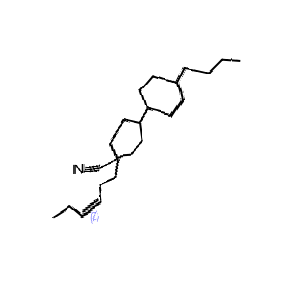 CC/C=C\CCC1(C#N)CCC(C2CCC(CCCC)CC2)CC1